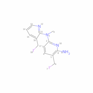 CN(c1ccc(CI)c(N)n1)c1ncccc1CI